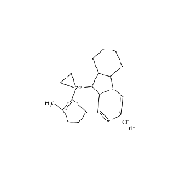 CC1=[C]([Zr+2]2([CH]3C4C=CC=CC4C4CCCCC43)[CH2][CH2]2)CC=C1.[Cl-].[Cl-]